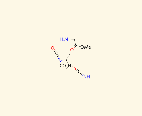 CC(N=C=O)C(=O)O.COC(=O)CN.N=C=O